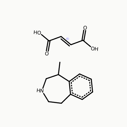 CC1CNCCc2ccccc21.O=C(O)/C=C/C(=O)O